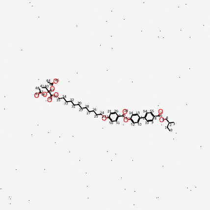 CCC(C)COC(=O)c1ccc(-c2ccc(OC(=O)c3ccc(OCCCCCCCCCCCCOC(=O)C(CC)(OC(C)=O)OC(C)=O)cc3)cc2)cc1